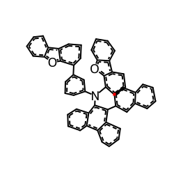 c1cc(-c2cccc3c2oc2ccccc23)cc(N(c2c(-c3ccc4ccccc4c3)c3ccccc3c3ccccc23)c2cccc3c2oc2ccccc23)c1